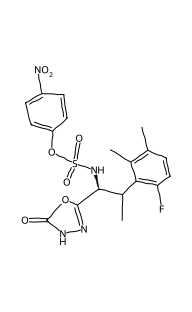 Cc1ccc(F)c(C(C)[C@H](NS(=O)(=O)Oc2ccc([N+](=O)[O-])cc2)c2n[nH]c(=O)o2)c1C